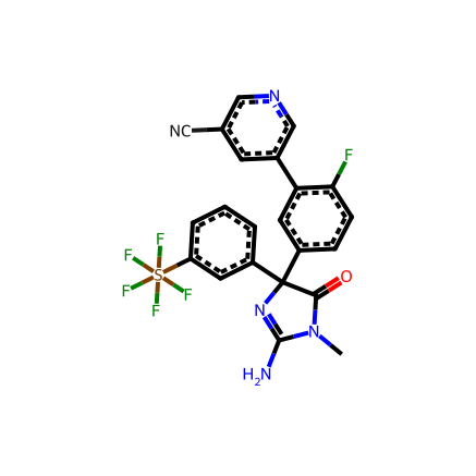 CN1C(=O)C(c2cccc(S(F)(F)(F)(F)F)c2)(c2ccc(F)c(-c3cncc(C#N)c3)c2)N=C1N